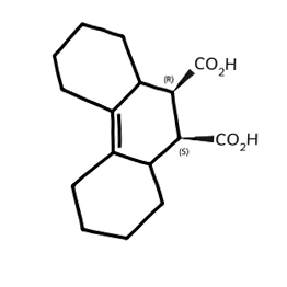 O=C(O)[C@@H]1C2CCCCC2=C2CCCCC2[C@@H]1C(=O)O